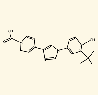 CC(C)(C)c1cc(-n2cnc(-c3ccc(C(=O)O)cc3)c2)ccc1O